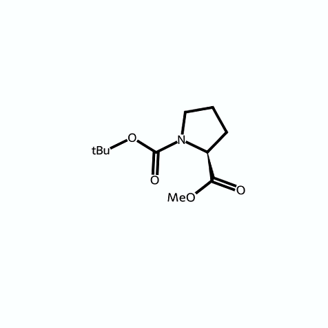 COC(=O)[C@@H]1CCCN1C(=O)OC(C)(C)C